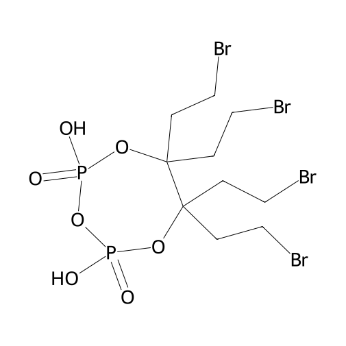 O=P1(O)OC(CCBr)(CCBr)C(CCBr)(CCBr)OP(=O)(O)O1